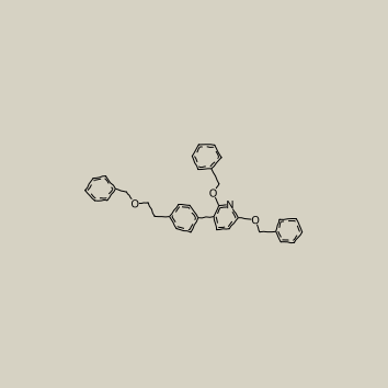 c1ccc(COCCc2ccc(-c3ccc(OCc4ccccc4)nc3OCc3ccccc3)cc2)cc1